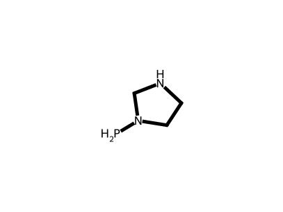 PN1CCNC1